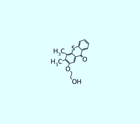 Cc1c(OCCO)cc2c(=O)c3ccccc3sc2c1C